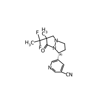 CC(F)(F)C1(C)CN2CC[C@H](c3cncc(C#N)c3)N2C1=O